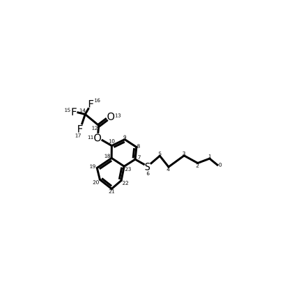 CCCCCCSc1ccc(OC(=O)C(F)(F)F)c2ccccc12